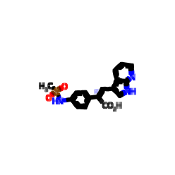 CS(=O)(=O)Nc1ccc(/C(=C/c2c[nH]c3ncccc23)C(=O)O)cc1